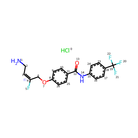 Cl.NC/C=C(/F)COc1ccc(C(=O)Nc2ccc(C(F)(F)F)cc2)cc1